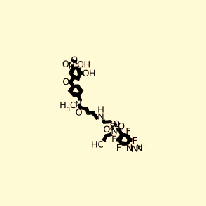 C#CCCN(C(=O)c1c(F)c(F)c(N=[N+]=[N-])c(F)c1F)S(=O)(=O)CCNCCCCC(=O)N(C)Cc1ccc(C(=O)c2cc(O)c(O)c([N+](=O)[O-])c2)cc1